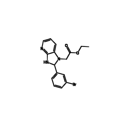 CCOC(=O)CN1c2cccnc2NC1c1cccc(Br)c1